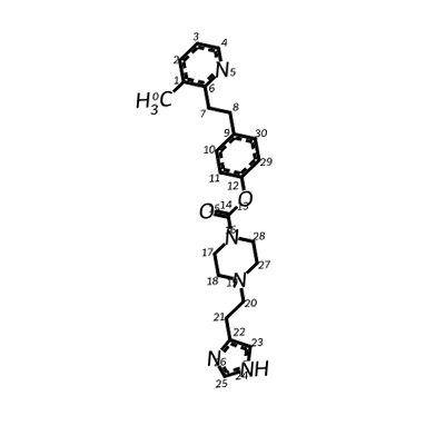 Cc1cccnc1CCc1ccc(OC(=O)N2CCN(CCc3c[nH]cn3)CC2)cc1